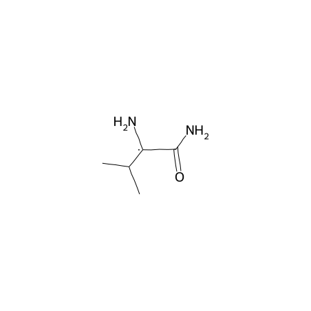 CC(C)[C](N)C(N)=O